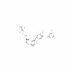 CN1CCC2CN(C(=O)Nc3ccc4ncnc(Nc5ccc(OCc6cccc(F)c6)c(Cl)c5)c4c3)C[C@H]21